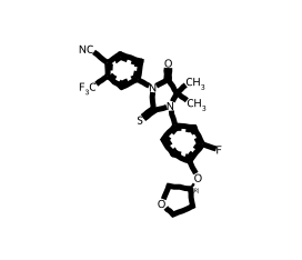 CC1(C)C(=O)N(c2ccc(C#N)c(C(F)(F)F)c2)C(=S)N1c1ccc(O[C@@H]2CCOC2)c(F)c1